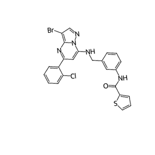 O=C(Nc1cccc(CNc2cc(-c3ccccc3Cl)nc3c(Br)cnn23)c1)c1cccs1